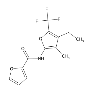 CCc1c(C(F)(F)F)oc(NC(=O)c2ccco2)c1C